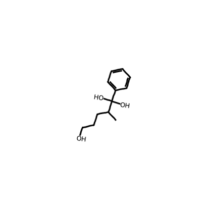 CC(CCCO)C(O)(O)c1ccccc1